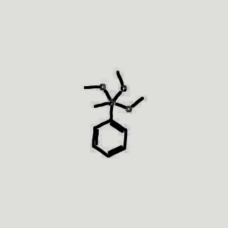 C[O][Zr]([CH3])([O]C)([O]C)[c]1ccccc1